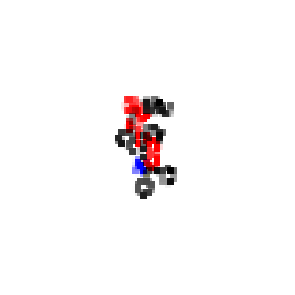 CC(C)OC(=O)C(Cc1cccc(OCC(=O)OC(C)(C)C)c1)c1nc(-c2ccccc2)c(-c2ccccc2)o1